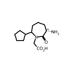 N[C@H]1CCCC(C2CCCC2)N(CC(=O)O)C1=O